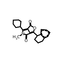 CN1C(=O)C2=C(C3CCCc4ccccc43)OC(=O)C2=C1C1CCCCC1